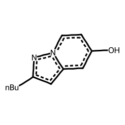 CCCCc1cc2cc(O)ccn2n1